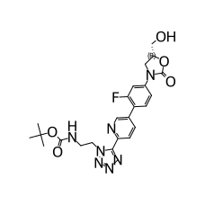 CC(C)(C)OC(=O)NCCn1nnnc1-c1ccc(-c2ccc(N3C[C@H](CO)OC3=O)cc2F)cn1